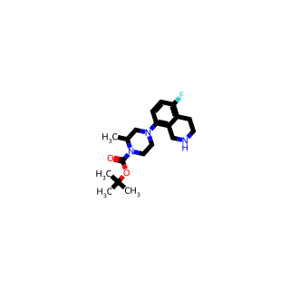 CC1CN(c2ccc(F)c3c2CNCC3)CCN1C(=O)OC(C)(C)C